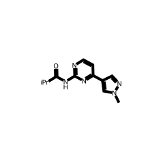 CC(C)C(=O)Nc1nccc(-c2cnn(C)c2)n1